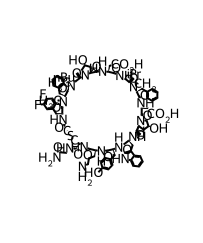 CCCC[C@H]1C(=O)N2C[C@H](O)C[C@@H]2C(=O)N[C@@H](CC(=O)O)C(=O)N[C@@H](C(C)C)C(=O)N(C)[C@@H](Cc2ccccc2)C(=O)N[C@@H](CC(=O)O)C(=O)N2C[C@H](O)C[C@@H]2C(=O)N[C@@H](Cc2c[nH]c3ccccc23)C(=O)N[C@@H](Cc2ccc(O)cc2)C(=O)N[C@@H](CCCN)C(=O)N[C@H](C(=O)NCC(N)=O)CSCC(=O)N[C@@H](Cc2ccc(F)c(F)c2)C(=O)N(C)[C@@H](Cc2ccccc2)C(=O)N1C